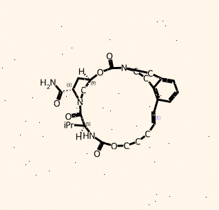 CC(C)[C@@H]1NC(=O)OCCC/C=C/c2cccc3c2CCN(C3)C(=O)O[C@@H]2C[C@@H](C(N)=O)N(C2)C1=O